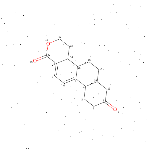 O=C1CCC2C3=CC=C4C(=O)OCCC4C3CCC2C1